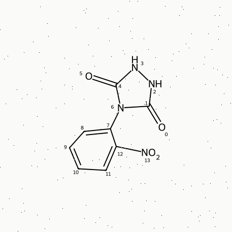 O=c1[nH][nH]c(=O)n1-c1ccccc1[N+](=O)[O-]